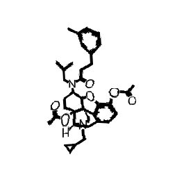 CC(=O)Oc1ccc2c3c1OC1C(N(CC(C)C)C(=O)CCc4cccc(C)c4)CC[C@@]4(OC(C)=O)[C@@H](C2)N(CC2CC2)CC[C@]314